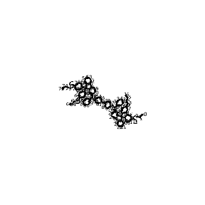 C=CCSc1ccc(C2(c3ccc(SCC=C)cc3)c3ccccc3-c3ccc(N(c4ccccc4)c4ccc(-c5ccc(N(C6=CC7C(C=C6)c6ccccc6C7(c6ccc(SCC=C)cc6)c6ccc(SCC=C)cc6)c6ccccc6)cc5)cc4)cc32)cc1